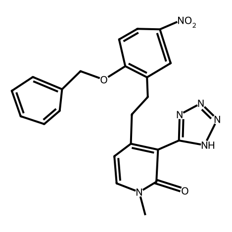 Cn1ccc(CCc2cc([N+](=O)[O-])ccc2OCc2ccccc2)c(-c2nnn[nH]2)c1=O